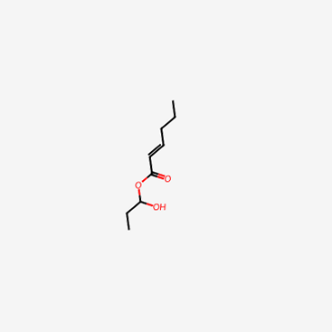 CCCC=CC(=O)OC(O)CC